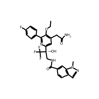 CCOc1c(CC(N)=O)cc([C@@](O)(CNC(=O)c2ccc3cnn(C)c3c2)C(F)(F)F)nc1-c1ccc(F)cc1